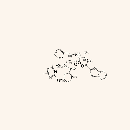 Cc1cc(C)nc(O[C@@H]2CCNC(C(=O)N(C[C@@H](O)[C@H](Cc3ccccc3)NC(=O)[C@@H](NC(=O)c3ccc4ccccc4n3)C(C)C)C(C)(C)C)C2)n1